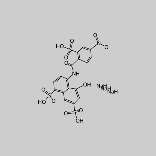 O=C(Nc1ccc(S(=O)(=O)O)c2cc(S(=O)(=O)O)cc(O)c12)c1ccc([N+](=O)[O-])cc1S(=O)(=O)O.[NaH].[NaH].[NaH]